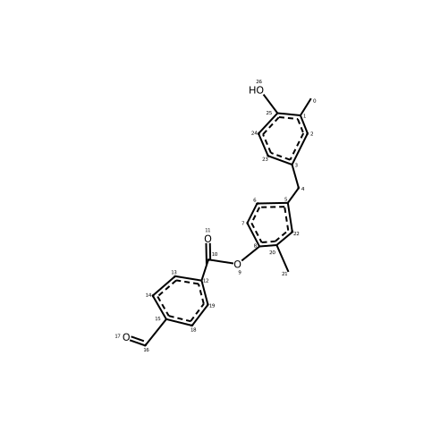 Cc1cc(Cc2ccc(OC(=O)c3ccc(C=O)cc3)c(C)c2)ccc1O